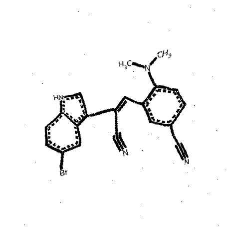 CN(C)c1ccc(C#N)cc1C=C(C#N)c1c[nH]c2ccc(Br)cc12